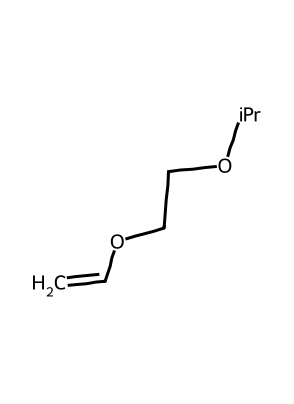 [CH2]C(C)OCCOC=C